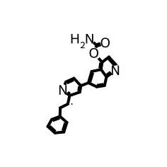 NC(=O)Oc1ccnc2ccc(-c3ccnc([CH]Cc4ccccc4)c3)cc12